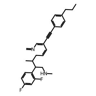 C=N/C=C(C#Cc1ccc(CCC)cc1)\C=C/CC(C)C(CNC)c1ccc(F)cc1F